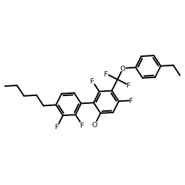 CCCCCc1ccc(-c2c([O])cc(F)c(C(F)(F)Oc3ccc(CC)cc3)c2F)c(F)c1F